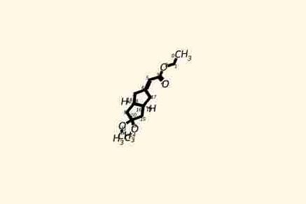 CCOC(=O)/C=C1/C[C@@H]2CC(OC)(OC)C[C@@H]2C1